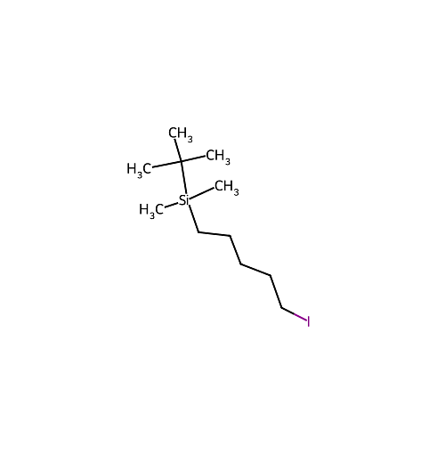 CC(C)(C)[Si](C)(C)CCCCCI